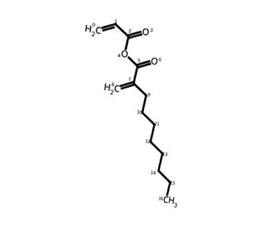 C=CC(=O)OC(=O)C(=C)CCCCCCCC